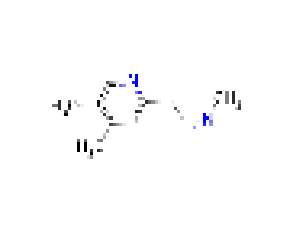 C/N=C\Cc1cc(C)c(C)cn1